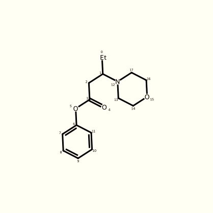 CCC(CC(=O)Oc1ccccc1)N1CCOCC1